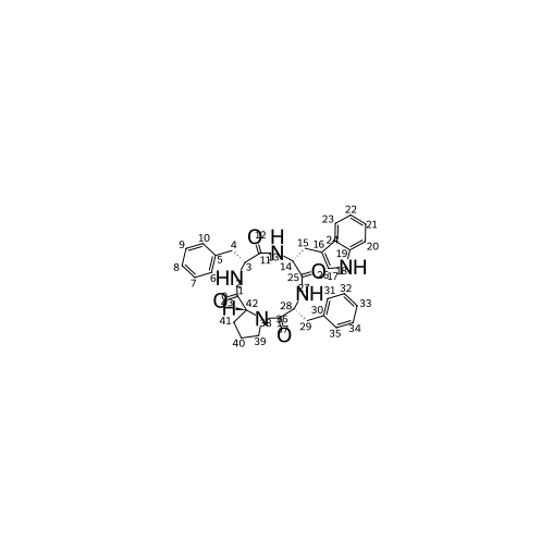 O=C1N[C@H](Cc2ccccc2)C(=O)N[C@H](Cc2c[nH]c3ccccc23)C(=O)N[C@H](Cc2ccccc2)C(=O)N2CCC[C@H]12